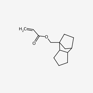 C=CC(=O)OCC12CCC(C1)C1CCCC12